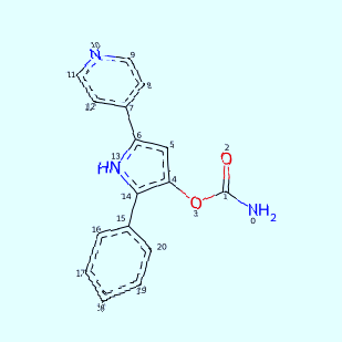 NC(=O)Oc1cc(-c2ccncc2)[nH]c1-c1ccccc1